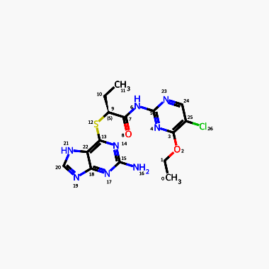 CCOc1nc(NC(=O)[C@H](CC)Sc2nc(N)nc3nc[nH]c23)ncc1Cl